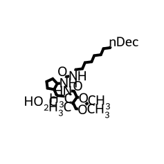 CCCCCCCCCCCCCCCCCCNC(=O)NC1CCCC1C(CNC(=O)C1OC(C)(C)OCC1(C)C)C(=O)O